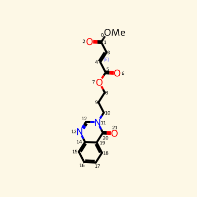 COC(=O)/C=C/C(=O)OCCCn1cnc2ccccc2c1=O